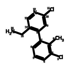 Cc1c(Cl)cccc1-c1cc(Cl)ncc1CN